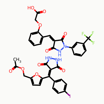 CC(=O)OCc1ccc(C(=C2C(=O)NNC2=O)c2ccc(I)cc2)o1.O=C(O)COc1ccccc1/C=C1\C(=O)NN(c2cccc(C(F)(F)F)c2)C1=O